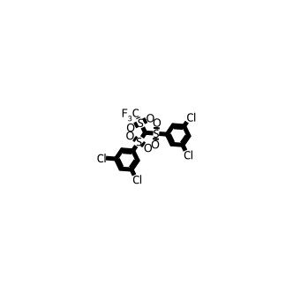 O=S(=O)(c1cc(Cl)cc(Cl)c1)C(S(=O)(=O)c1cc(Cl)cc(Cl)c1)S(=O)(=O)C(F)(F)F